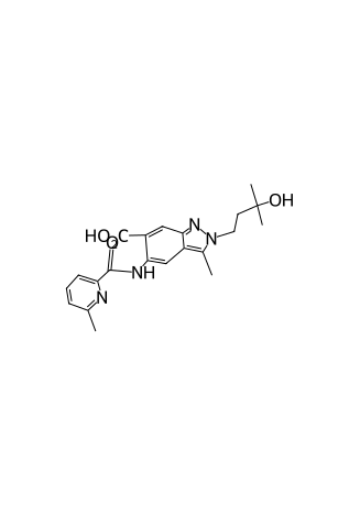 Cc1cccc(C(=O)Nc2cc3c(C)n(CCC(C)(C)O)nc3cc2C(=O)O)n1